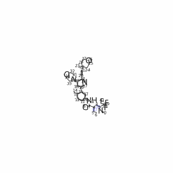 C=N/C(=C\C(=C/C)C(=O)Nc1ccc(C)c(-c2cnc(C#CC3(C)CCOCC3)c(N3CCOCC3)c2)c1)C(F)(F)F